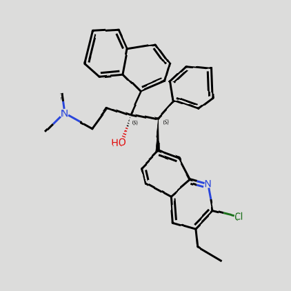 CCc1cc2ccc([C@H](c3ccccc3)[C@@](O)(CCN(C)C)c3cccc4ccccc34)cc2nc1Cl